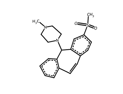 CN1CCN(C2c3ccccc3C=Cc3ccc(S(C)(=O)=O)cc32)CC1